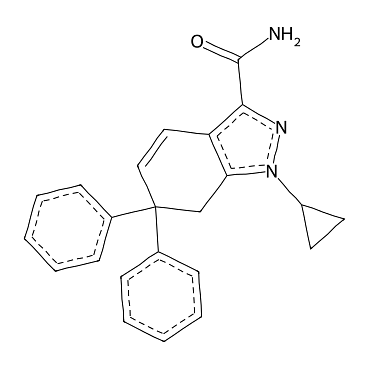 NC(=O)c1nn(C2CC2)c2c1C=CC(c1ccccc1)(c1ccccc1)C2